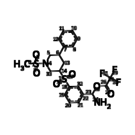 CS(=O)(=O)N1CC(c2ccccc2)CC(S(=O)(=O)c2cccc(C(N)OC(=O)C(F)(F)F)c2)C1